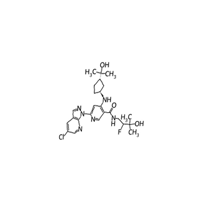 CC(C)(O)C(F)CNC(=O)c1cnc(-n2ncc3cc(Cl)cnc32)cc1N[C@H]1CC[C@H](C(C)(C)O)C1